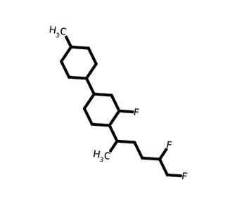 CC1CCC(C2CCC(C(C)CCC(F)CF)C(F)C2)CC1